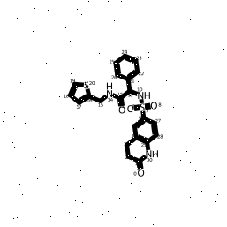 O=C1CCc2cc(S(=O)(=O)NC(C(=O)NCc3cccs3)c3ccccc3)ccc2N1